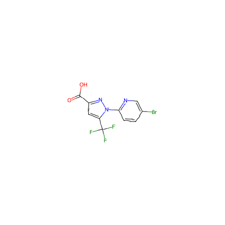 O=C(O)c1cc(C(F)(F)F)n(-c2ccc(Br)cn2)n1